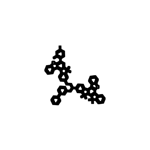 Cc1ccc(-c2cc3c(c4c2oc2ccccc24)-c2ccc(CCC(Cc4cccc(-c5ccccc5)c4)c4ccc5c(c4)C(C)(C)c4c6c(c7oc8ccccc8c7c4-5)-c4ccccc4C6(C)C)cc2C3(C)C)c(C)c1